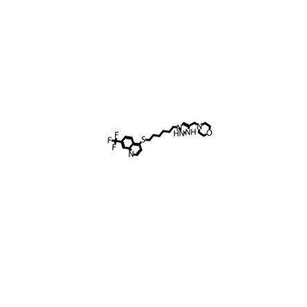 FC(F)(F)c1ccc2c(SCCCCCCN3C=C(CN4CCOCC4)NN3)ccnc2c1